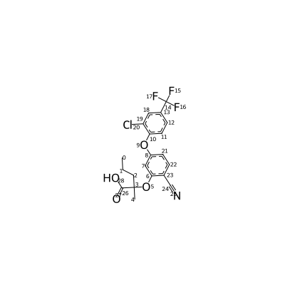 CCCC(C)(Oc1cc(Oc2ccc(C(F)(F)F)cc2Cl)ccc1C#N)C(=O)O